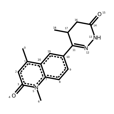 Cc1cc(=O)n(C)c2ccc(C3=NNC(=O)CC3C)cc12